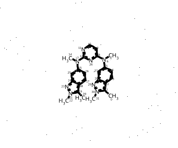 Cc1c2ccc(N(C)c3ccnc(N(C)c4ccc5c(C)n(C)nc5c4)n3)cc2nn1C